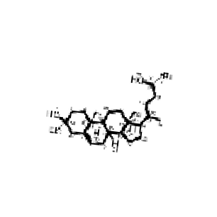 CC[C@]1(O)CC[C@@]2(C)C(=CC[C@H]3[C@@H]4CC[C@H]([C@H](C)CC[C@H](O)C(C)(C)C)[C@@]4(C)CC[C@@H]32)C1